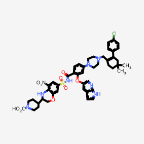 CC1(C)CCC(CN2CCN(c3ccc(C(=O)NS(=O)(=O)c4cc5c(c([N+](=O)[O-])c4)NC(C4CCN(C(=O)O)CC4)CO5)c(Oc4cnc5[nH]ccc5c4)c3)CC2)=C(c2ccc(Cl)cc2)C1